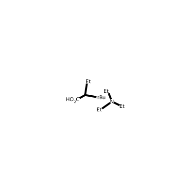 CCCCC(CC)C(=O)O.CCN(CC)CC